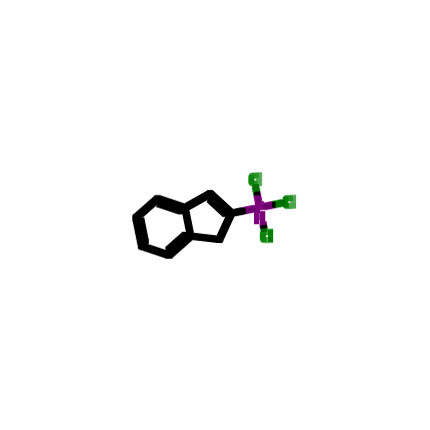 Cl[PH](Cl)(Cl)C1=Cc2ccccc2C1